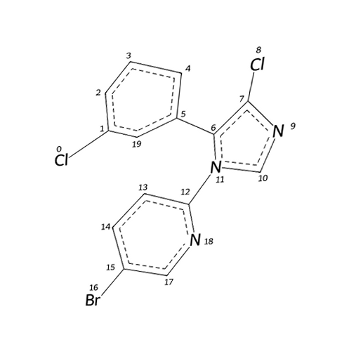 Clc1cccc(-c2c(Cl)ncn2-c2ccc(Br)cn2)c1